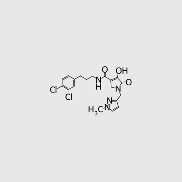 Cn1ccc(CN2CC(C(=O)NCCCc3ccc(Cl)c(Cl)c3)=C(O)C2=O)n1